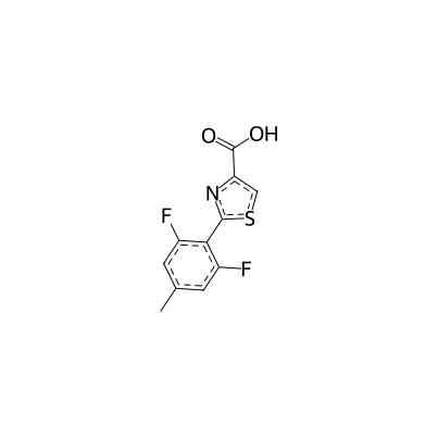 Cc1cc(F)c(-c2nc(C(=O)O)cs2)c(F)c1